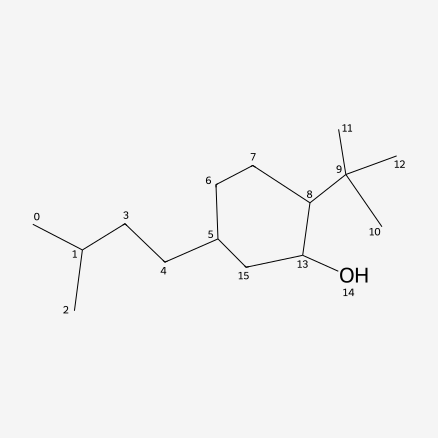 CC(C)CCC1CCC(C(C)(C)C)C(O)C1